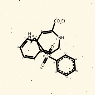 CCOC(=O)C1=CC23C(=CCN1)C=CC=C2NCC3S(=O)(=O)c1ccccc1